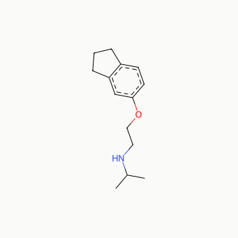 CC(C)NCCOc1ccc2c(c1)CCC2